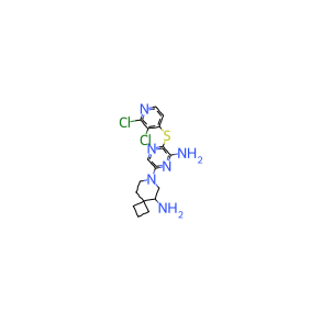 Nc1nc(N2CCC3(CCC3)C(N)C2)cnc1Sc1ccnc(Cl)c1Cl